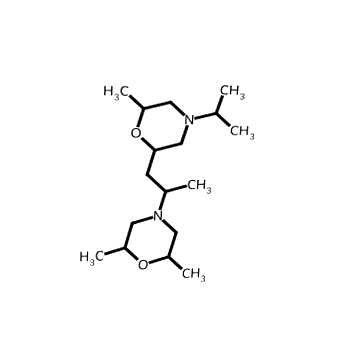 CC1CN(C(C)CC2CN(C(C)C)CC(C)O2)CC(C)O1